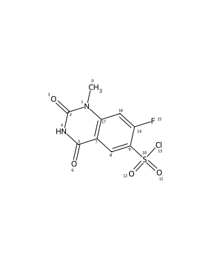 Cn1c(=O)[nH]c(=O)c2cc(S(=O)(=O)Cl)c(F)cc21